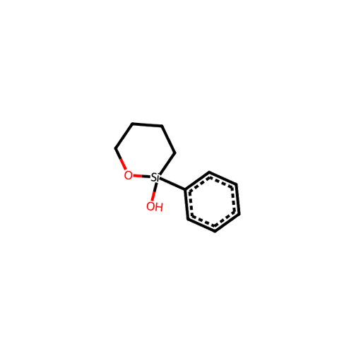 O[Si]1(c2ccccc2)CCCCO1